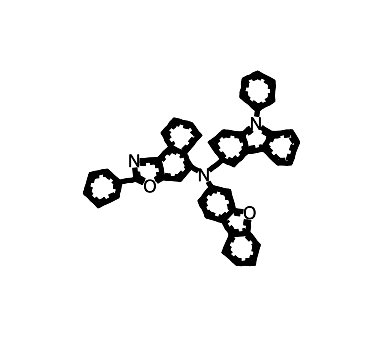 c1ccc(-c2nc3c(cc(N(c4ccc5c(c4)oc4ccccc45)c4ccc5c(c4)c4ccccc4n5-c4ccccc4)c4ccccc43)o2)cc1